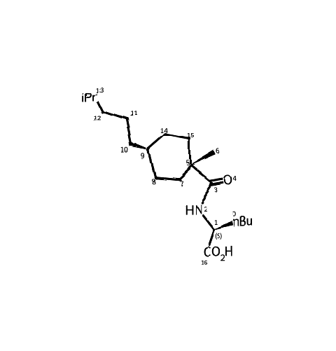 CCCC[C@H](NC(=O)[C@]1(C)CC[C@@H](CCCC(C)C)CC1)C(=O)O